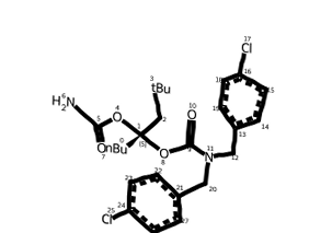 CCCC[C@](CC(C)(C)C)(OC(N)=O)OC(=O)N(Cc1ccc(Cl)cc1)Cc1ccc(Cl)cc1